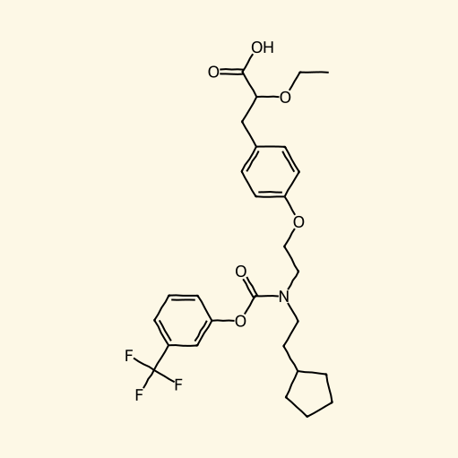 CCOC(Cc1ccc(OCCN(CCC2CCCC2)C(=O)Oc2cccc(C(F)(F)F)c2)cc1)C(=O)O